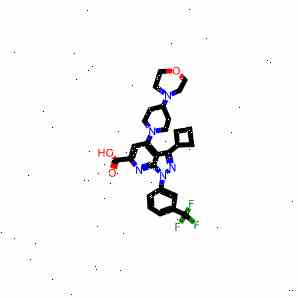 O=C(O)c1cc(N2CCC(N3CCOCC3)CC2)c2c(C3CCC3)nn(-c3cccc(C(F)(F)F)c3)c2n1